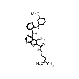 CO[C@H]1CCC[C@@H](Oc2ncccc2Nc2ncnc3sc(C(=O)NCCCN(C)C)c(C)c23)C1